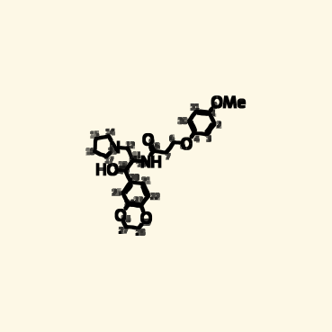 COc1ccc(OCCC(=O)N[C@H](CN2CCCC2)[C@H](O)c2ccc3c(c2)OCCO3)cc1